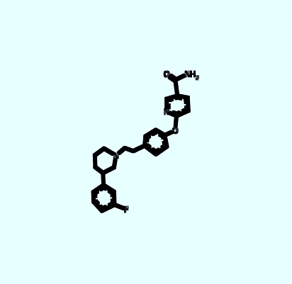 NC(=O)c1ccc(Oc2ccc(CCN3CCCC(c4cccc(F)c4)C3)cc2)nc1